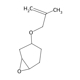 C=C(C)COC1CCC2OC2C1